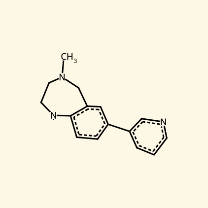 CN1CC[N]c2ccc(-c3cccnc3)cc2C1